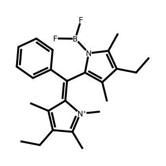 CCC1=C(C)/C(=C(\c2ccccc2)c2c(C)c(CC)c(C)n2B(F)F)[N+](C)=C1C